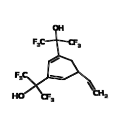 C=CC1C=C(C(O)(C(F)(F)F)C(F)(F)F)C=C(C(O)(C(F)(F)F)C(F)(F)F)C1